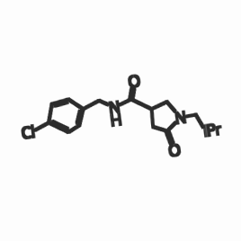 CC(C)CN1CC(C(=O)NCc2ccc(Cl)cc2)CC1=O